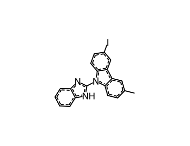 Cc1ccc2c(c1)c1cc(I)ccc1n2-c1nc2ccccc2[nH]1